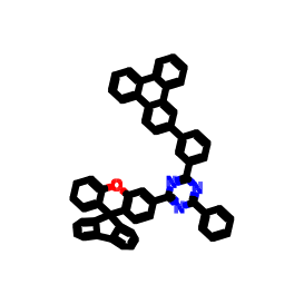 C1=C2Oc3cc(-c4nc(-c5ccccc5)nc(-c5cccc(-c6ccc7c8ccccc8c8ccccc8c7c6)c5)n4)ccc3C3(C2=CCC1)c1ccccc1-c1ccccc13